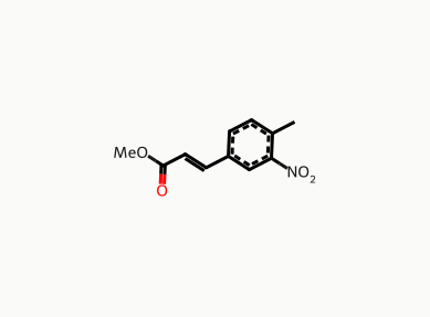 COC(=O)/C=C/c1ccc(C)c([N+](=O)[O-])c1